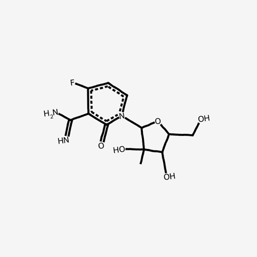 CC1(O)C(O)C(CO)OC1n1ccc(F)c(C(=N)N)c1=O